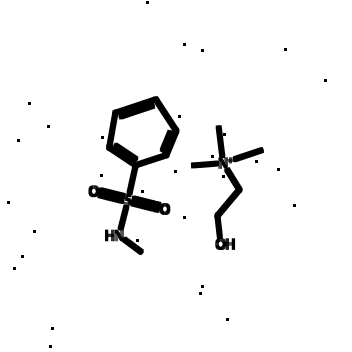 CNS(=O)(=O)c1ccccc1.C[N+](C)(C)CCO